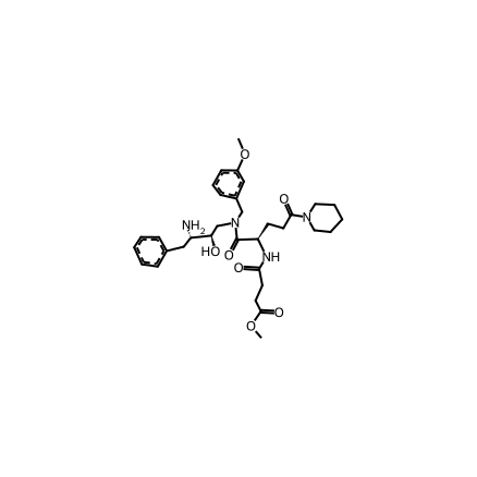 COC(=O)CCC(=O)N[C@H](CCC(=O)N1CCCCC1)C(=O)N(Cc1cccc(OC)c1)C[C@@H](O)[C@@H](N)Cc1ccccc1